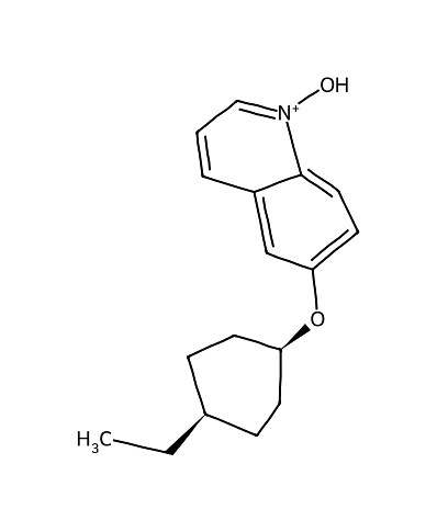 CC[C@H]1CC[C@@H](Oc2ccc3c(ccc[n+]3O)c2)CC1